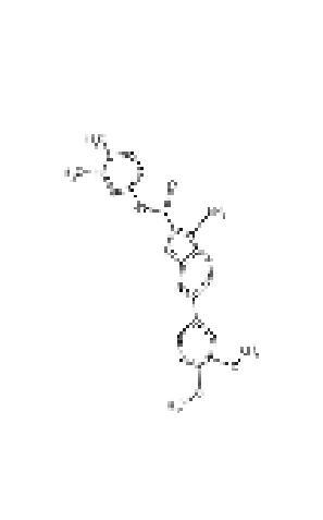 COc1ccc(-c2ccc3c(N)c(C(=O)Nc4ccc(C)c(C)c4)sc3n2)cc1OC